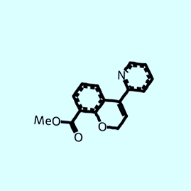 COC(=O)c1cccc2c1OCC=C2c1ccccn1